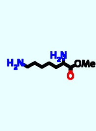 COC(=O)C(N)CCCCCN